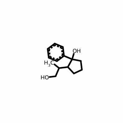 CC(CO)C1CCCC1(O)c1ccccc1